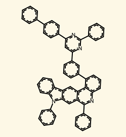 c1ccc(-c2ccc(-c3cc(-c4cccc(-c5cccc6nc(-c7ccccc7)c7cc8c(cc7c56)c5ccccc5n8-c5ccccc5)c4)nc(-c4ccccc4)n3)cc2)cc1